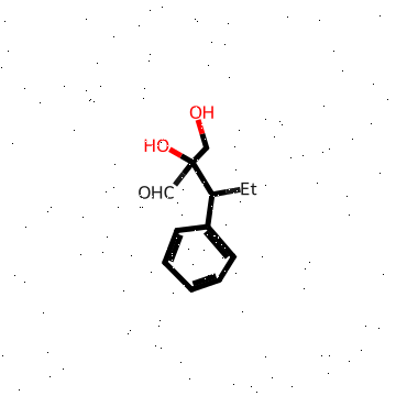 CCC(c1ccccc1)C(O)(C=O)CO